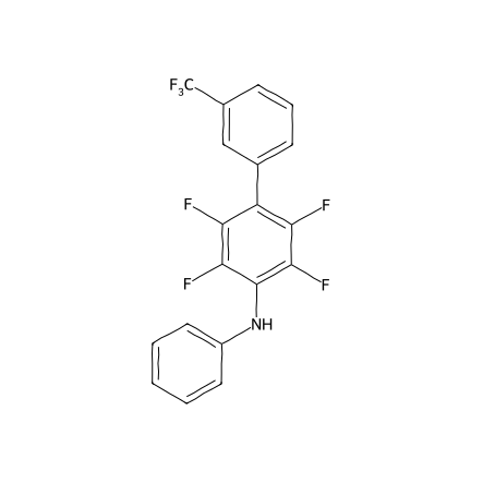 Fc1c(F)c(-c2cccc(C(F)(F)F)c2)c(F)c(F)c1Nc1ccccc1